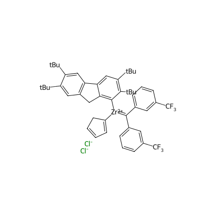 CC(C)(C)c1cc2c(cc1C(C)(C)C)-c1cc(C(C)(C)C)c(C(C)(C)C)[c]([Zr+2]([C]3=CC=CC3)=[C](c3cccc(C(F)(F)F)c3)c3cccc(C(F)(F)F)c3)c1C2.[Cl-].[Cl-]